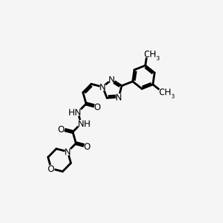 Cc1cc(C)cc(-c2ncn(/C=C\C(=O)NNC(=O)C(=O)N3CCOCC3)n2)c1